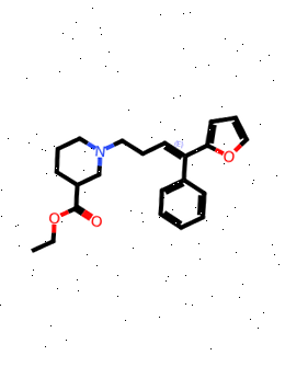 CCOC(=O)C1CCCN(CC/C=C(\c2ccccc2)c2ccco2)C1